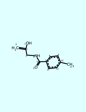 C=C(O)CNC(=O)c1ccc(C)cc1